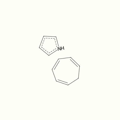 C1=CC=CCC=C1.c1cc[nH]c1